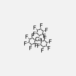 Fc1c(F)c(F)[c]([Ga]([c]2c(F)c(F)c(F)c(F)c2F)[c]2c(F)c(F)c(F)c(F)c2F)c(F)c1F